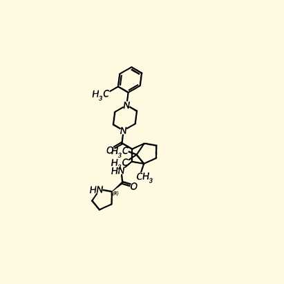 Cc1ccccc1N1CCN(C(=O)C2C3CCC(C)(C2NC(=O)[C@H]2CCCN2)C3(C)C)CC1